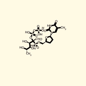 Cc1cn([C@H]2CC[C@@H](COP(=O)(O)[C@@](C=O)(OP(=O)(O)OP(=O)(O)O)[C@H](O)[C@@H](O)[C@H](C)O)O2)c(=O)[nH]c1=O